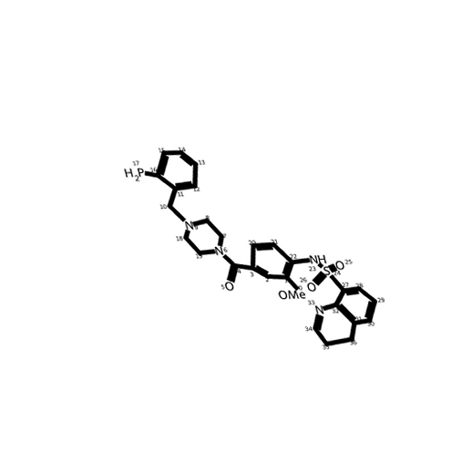 COc1cc(C(=O)N2CCN(Cc3ccccc3P)CC2)ccc1NS(=O)(=O)c1cccc2c1N=CCC2